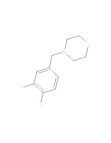 Fc1cc(CN2CCOCC2)ccc1Br